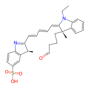 CCN1/C(=C/C=C/C=C/C2=Nc3ccc(S(=O)(=O)O)cc3[C@@H]2C)[C@@](C)(CCCC=O)c2ccccc21